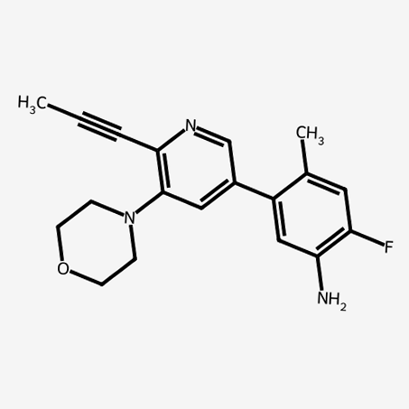 CC#Cc1ncc(-c2cc(N)c(F)cc2C)cc1N1CCOCC1